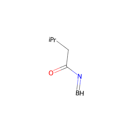 B=NC(=O)CC(C)C